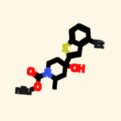 CCCCOC(=O)N1CCC(O)(c2cc3c(CC)cccc3s2)CC1C